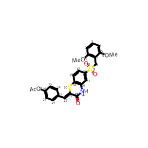 COc1cccc(OC)c1CS(=O)(=O)c1ccc2c(c1)NC(=O)/C(=C/c1ccc(OC(C)=O)cc1)S2